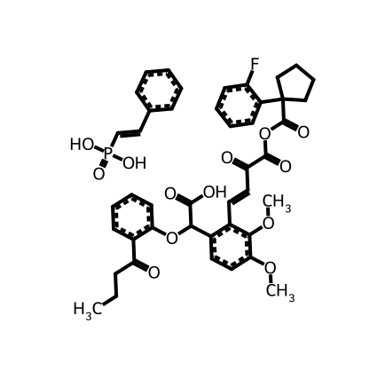 CCCC(=O)c1ccccc1OC(C(=O)O)c1ccc(OC)c(OC)c1C=CC(=O)C(=O)OC(=O)C1(c2ccccc2F)CCCC1.O=P(O)(O)C=Cc1ccccc1